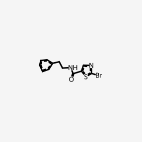 O=C(NCCc1ccccc1)c1cnc(Br)s1